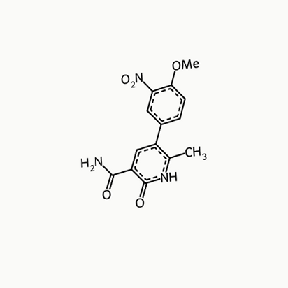 COc1ccc(-c2cc(C(N)=O)c(=O)[nH]c2C)cc1[N+](=O)[O-]